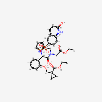 CCOC(=O)CN(Cc1cccs1)C(=O)[C@H](NS(=O)(=O)c1ccc2[nH]c(=O)ccc2c1)c1ccccc1OCC1(C(=O)OCC)CC1